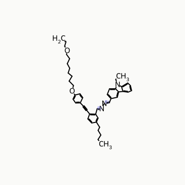 C=CCOCCCCCCCCOc1ccc(C#Cc2ccc(CCCCC)cc2/C=N/N=C/c2ccc3c(c2)c2ccccc2n3CC)cc1